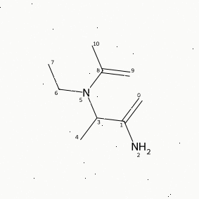 C=C(N)C(C)N(CC)C(=C)C